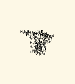 CCCCCOC(=O)Nc1nc(=O)n([C@@H]2O[C@H](C)[C@@H](O)[C@H]2O)cc1F.COc1cc(NCc2ccc3nc(N)nc(N)c3c2C)cc(OC)c1OC.Nc1ccn([C@@H]2O[C@H](CO)[C@@H](O)C2(F)F)c(=O)n1.Nc1nc(F)nc2c1ncn2[C@@H]1O[C@H](CO)[C@@H](O)[C@@H]1O.Nc1ncn([C@@H]2O[C@H](CO)[C@@H](O)[C@H]2O)c(=O)n1.OC[C@H]1O[C@@H](n2cnc3c2N=CNC[C@H]3O)C[C@@H]1O